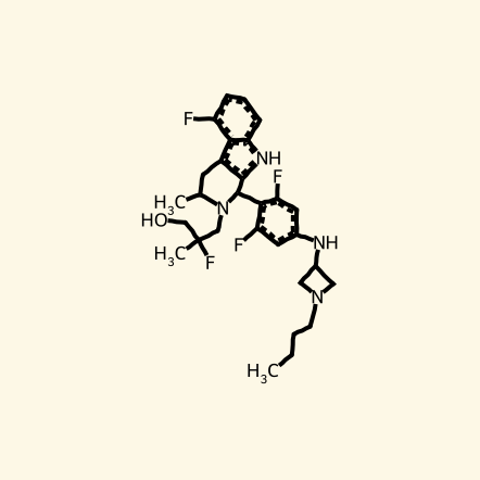 CCCCN1CC(Nc2cc(F)c(C3c4[nH]c5cccc(F)c5c4CC(C)N3CC(C)(F)CO)c(F)c2)C1